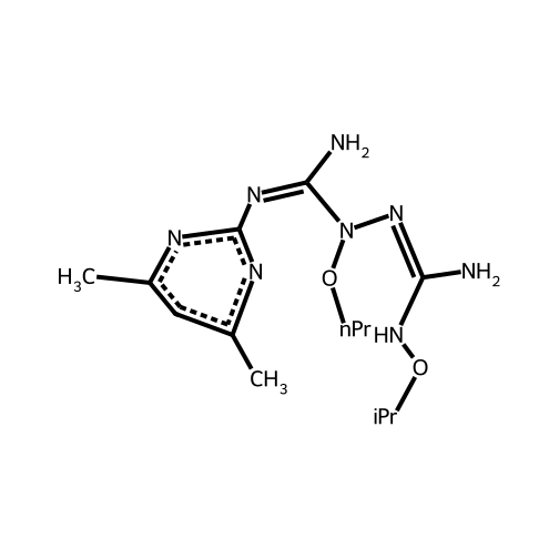 CCCON(N=C(N)NOC(C)C)C(N)=Nc1nc(C)cc(C)n1